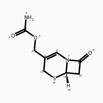 NC(=O)OCC1=CN2C(=O)C[C@@H]2SC1